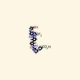 Cc1c(NC(=O)c2cc3n(n2)CCC[C@@H]3N2CCC(C(=O)O)CC2)cccc1-c1cccc(Nc2nc(C(F)(F)F)nc3cc(CN4CC[C@@H](O)C4)cnc23)c1C